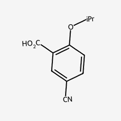 CC(C)Oc1ccc(C#N)cc1C(=O)O